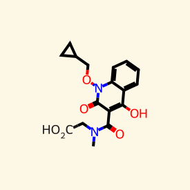 CN(CC(=O)O)C(=O)c1c(O)c2ccccc2n(OCC2CC2)c1=O